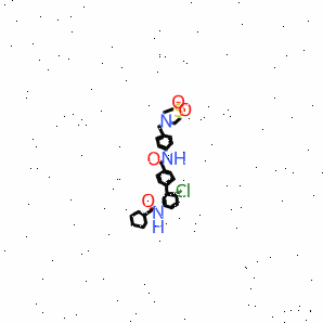 O=C(Nc1ccc(CN2CCS(=O)(=O)CC2)cc1)c1ccc(-c2cc(NC(=O)C3CCCCC3)ccc2Cl)cc1